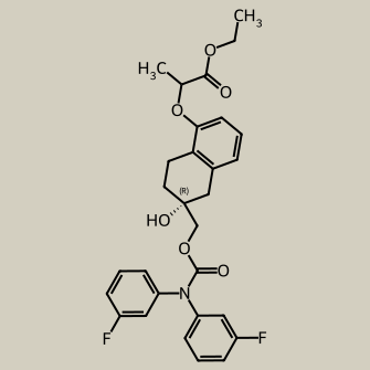 CCOC(=O)C(C)Oc1cccc2c1CC[C@](O)(COC(=O)N(c1cccc(F)c1)c1cccc(F)c1)C2